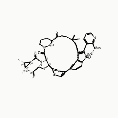 CC[C@@H](F)CO[C@@H]1c2nc(cs2)-c2ccc3c(c2)c(c(-c2cccnc2[C@H](C)OC)n3CC)CC(C)(C)COC(=O)[C@@H]2CCCN(N2)C(=O)[C@H]1NC(=O)[C@H]1[C@H](C)[C@@H]1C